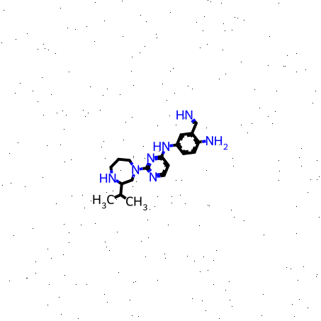 CC(C)C1CN(c2nccc(Nc3ccc(N)c(C=N)c3)n2)CCCN1